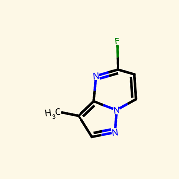 Cc1cnn2ccc(F)nc12